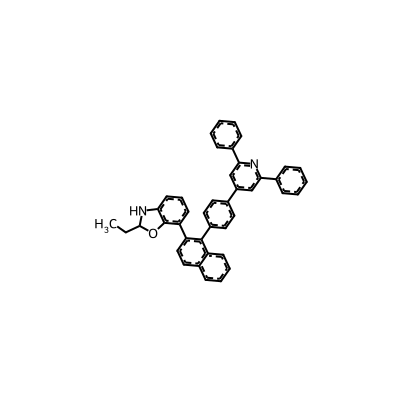 CCC1Nc2cccc(-c3ccc4ccccc4c3-c3ccc(-c4cc(-c5ccccc5)nc(-c5ccccc5)c4)cc3)c2O1